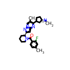 C=N[C@H]1CCC(c2nc3cc([C@@H]4CCCCN4C(=O)c4ccc(C)cc4F)nn3cc2C)C1